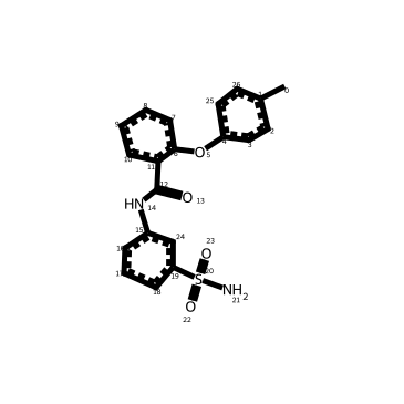 Cc1ccc(Oc2ccccc2C(=O)Nc2cccc(S(N)(=O)=O)c2)cc1